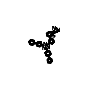 c1ccc(-c2ccc(-c3nc(-c4ccc(-c5ccccc5)cc4)nc(-c4cccc(-c5cccc6c5sc5cncnc56)c4)n3)cc2)cc1